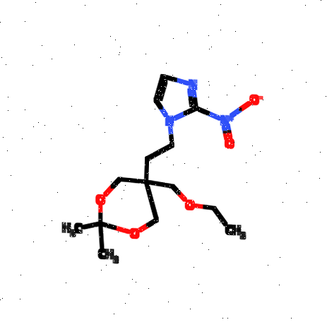 CCOCC1(CCn2ccnc2[N+](=O)[O-])COC(C)(C)OC1